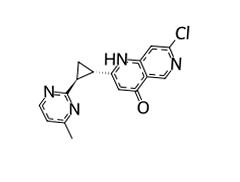 Cc1ccnc([C@H]2C[C@@H]2c2cc(=O)c3cnc(Cl)cc3[nH]2)n1